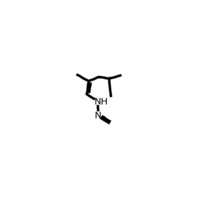 C=NN/C=C(/C)CC(C)C